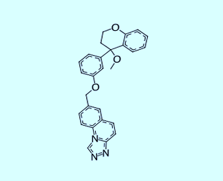 COC1(c2cccc(OCc3ccc4c(ccc5nncn54)c3)c2)CCOc2ccccc21